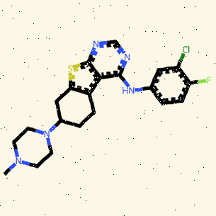 CN1CCN(C2CCc3c(sc4ncnc(Nc5ccc(F)c(Cl)c5)c34)C2)CC1